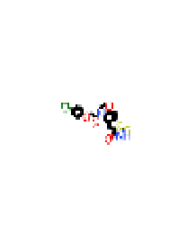 O=C1NC(=S)S/C1=C\c1ccc2c(c1)N(C(=O)COc1ccc(Cl)cc1)CCO2